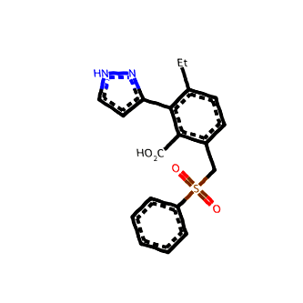 CCc1ccc(CS(=O)(=O)c2ccccc2)c(C(=O)O)c1-c1cc[nH]n1